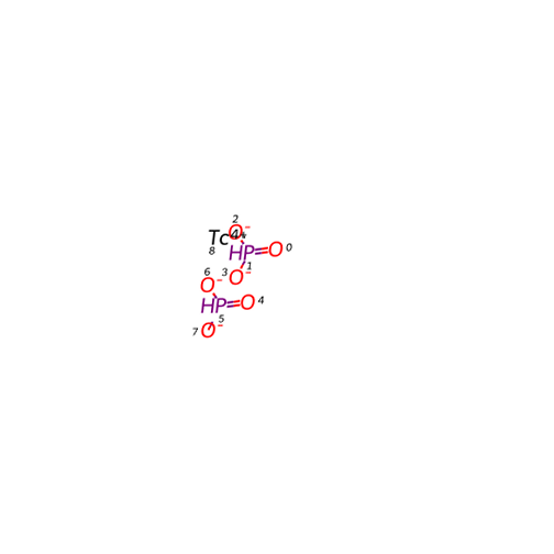 O=[PH]([O-])[O-].O=[PH]([O-])[O-].[Tc+4]